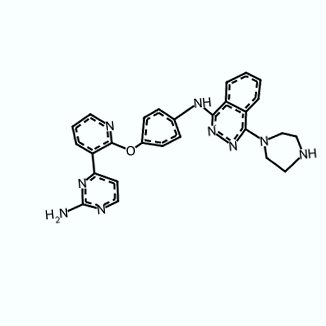 Nc1nccc(-c2cccnc2Oc2ccc(Nc3nnc(N4CCNCC4)c4ccccc34)cc2)n1